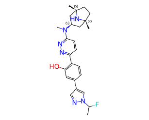 CC(F)n1cc(-c2ccc(-c3ccc(N(C)[C@H]4C[C@]5(C)CC[C@](C)(C4)N5)nn3)c(O)c2)cn1